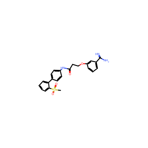 CS(=O)(=O)c1ccccc1-c1ccc(NC(=O)CCOc2cccc(C(=N)N)c2)cc1